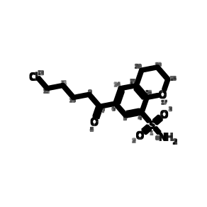 NS(=O)(=O)c1cc(C(=O)CCCCCl)cc2c1OCCC2